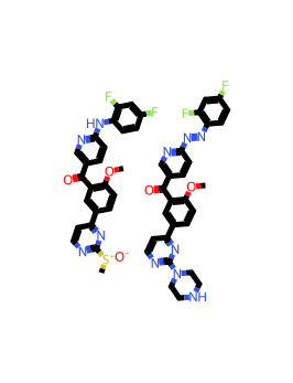 COc1ccc(-c2ccnc(N3CCNCC3)n2)cc1C(=O)c1ccc(N=Nc2ccc(F)cc2F)nc1.COc1ccc(-c2ccnc([S+](C)[O-])n2)cc1C(=O)c1ccc(Nc2ccc(F)cc2F)nc1